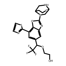 OCCOC(c1cc(-c2nccs2)c2oc(N3CC4CCCC3CN4)nc2c1)C(F)(F)F